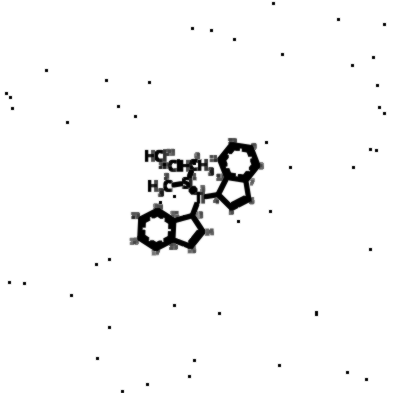 C[Si](C)=[Ti]([CH]1C=Cc2ccccc21)[CH]1C=Cc2ccccc21.Cl.Cl